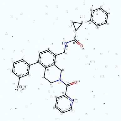 O=C(O)c1cccc(-c2ccc(CNC(=O)[C@@H]3C[C@@H]3c3ccccc3)c3c2CCN(C(=O)c2ccccn2)C3)c1